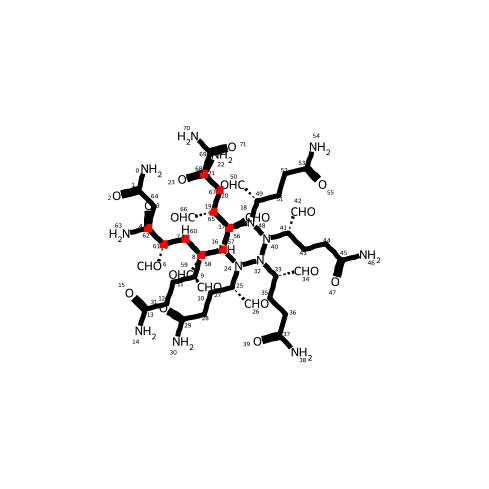 NC(=O)CC[C@@H](C=O)NN([C@H](C=O)CCC(N)=O)N([C@H](C=O)CCC(N)=O)N([C@H](C=O)CCC(N)=O)N([C@H](C=O)CCC(N)=O)N([C@H](C=O)CCC(N)=O)N([C@H](C=O)CCC(N)=O)N(N[C@H](C=O)CCC(N)=O)[C@H](C=O)CCC(N)=O